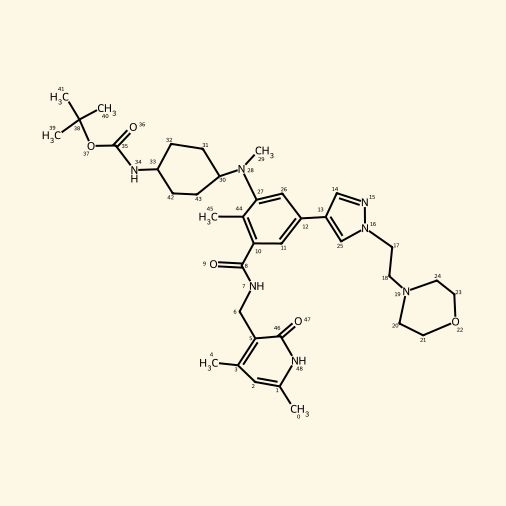 Cc1cc(C)c(CNC(=O)c2cc(-c3cnn(CCN4CCOCC4)c3)cc(N(C)C3CCC(NC(=O)OC(C)(C)C)CC3)c2C)c(=O)[nH]1